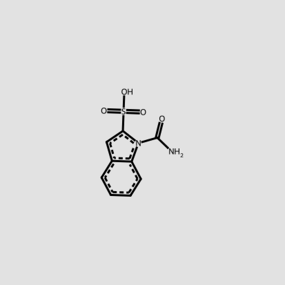 NC(=O)n1c(S(=O)(=O)O)cc2ccccc21